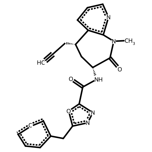 C#CC[C@H]1C[C@@H](NC(=O)c2nnc(Cc3ccccc3)o2)C(=O)N(C)c2ncccc21